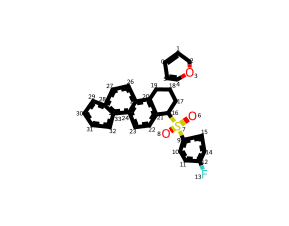 C1=CCOC=C1.O=S(=O)(c1ccc(F)cc1)C1CCCc2c1ccc1c2ccc2ccccc21